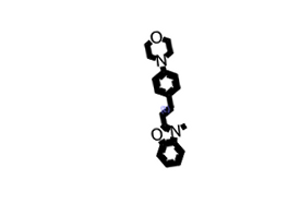 C[n+]1c(/C=C/c2ccc(N3CCOCC3)cc2)oc2ccccc21